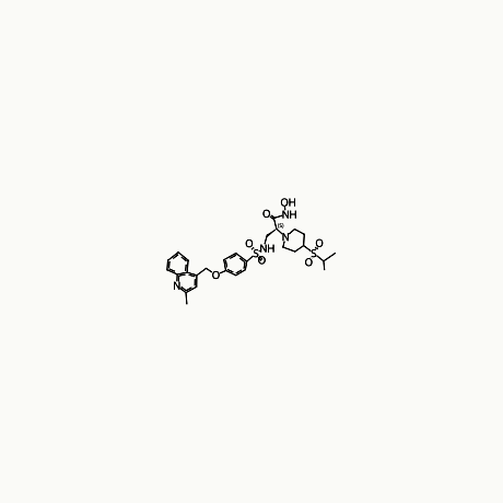 Cc1cc(COc2ccc(S(=O)(=O)NC[C@@H](C(=O)NO)N3CCC(S(=O)(=O)C(C)C)CC3)cc2)c2ccccc2n1